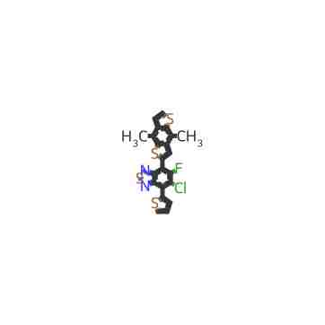 Cc1c2cc(-c3c(F)c(Cl)c(-c4cccs4)c4nsnc34)sc2c(C)c2ccsc12